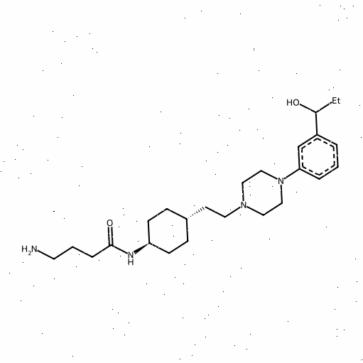 CCC(O)c1cccc(N2CCN(CC[C@H]3CC[C@H](NC(=O)CCCN)CC3)CC2)c1